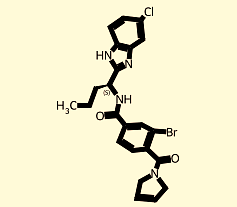 CCC[C@H](NC(=O)c1ccc(C(=O)N2CC=CC2)c(Br)c1)c1nc2cc(Cl)ccc2[nH]1